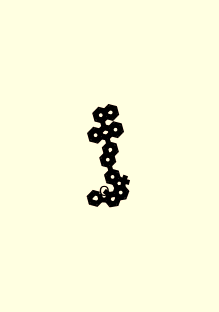 CC1(C)c2cc(-c3ccc4cc(-c5c6ccccc6c(-c6cccc7ccccc67)c6ccccc56)ccc4c3)ccc2-c2c1ccc1ccc3c(c21)OC1C=CC=CC31